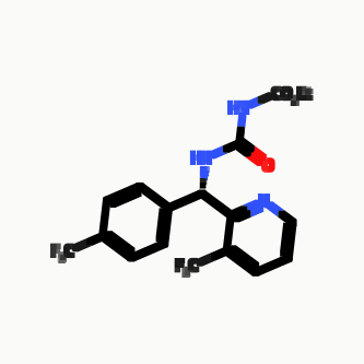 CCOC(=O)NC(=O)N[C@@H](c1ccc(C(F)(F)F)cc1)c1ncccc1C(F)(F)F